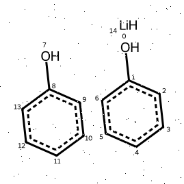 Oc1ccccc1.Oc1ccccc1.[LiH]